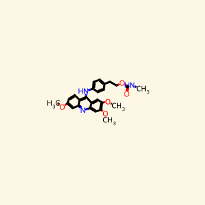 CNC(=O)OCCc1ccc(Nc2c3ccc(OC)cc3nc3cc(OC)c(OC)cc23)cc1